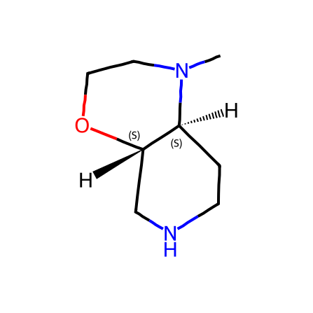 CN1CCO[C@H]2CNCC[C@@H]21